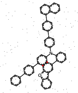 c1ccc(-c2ccc(-c3ccc(N(c4ccc(-c5ccc(-c6cccc7ccccc67)cc5)cc4)c4ccccc4-c4ccc5oc6ccccc6c5c4)cc3)cc2)cc1